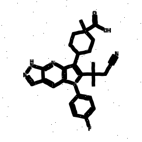 CC1(C(=O)O)CCC(c2c(C(C)(C)CC#N)n(-c3ccc(F)cc3)c3cc4cn[nH]c4nc23)CC1